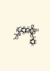 C/C=N\C(=N/C(C)OC)c1ccc(C[C@H](NC(=O)OCc2ccccc2)C(=O)O)cc1